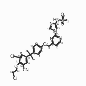 CC(C)(c1ccc(OCc2ccnc(-n3cnc(NS(C)(=O)=O)c3)n2)cc1)c1cc(Cl)c(OCCCl)c(C#N)c1